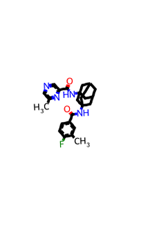 Cc1cncc(C(=O)NC23CC4CC(CC(NC(=O)c5ccc(F)c(C)c5)(C4)C2)C3)n1